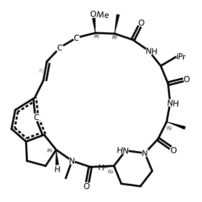 CO[C@@H]1CC/C=C/c2ccc3c(c2)[C@@H](CC3)N(C)C(=O)[C@@H]2CCCN(N2)C(=O)[C@H](C)NC(=O)C(C(C)C)NC(=O)[C@@H]1C